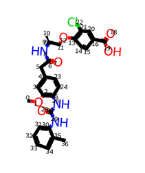 COc1cc(CC(=O)N[C@@H](C)COc2ccc(C(=O)O)cc2Cl)ccc1NC(=O)Nc1ccccc1C